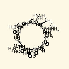 CC[C@H](C)[C@@H]1NC(=O)C(C)(C)NC(=O)[C@H](Cc2cncn2C)NC(=O)[C@H](Cc2ccccc2)NC(=O)CSC[C@@H](C(=O)NCC(N)=O)NC(=O)[C@H](Cc2ccc(O)cc2)NC(=O)[C@H](Cc2c[nH]c3ccccc23)NC(=O)[C@H](Cc2ccc(O)cc2)NC(=O)[C@H](Cc2cncn2C)NC(=O)[C@H](Cc2ccccc2)NC(=O)C(C)(C)NC(=O)[C@H](CCCNC(=N)N)NC(=O)[C@H](CCCCN)NC(=O)[C@H](CCCNC(=N)N)NC1=O